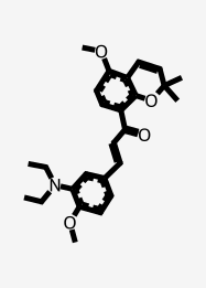 CCN(CC)c1cc(C=CC(=O)c2ccc(OC)c3c2OC(C)(C)C=C3)ccc1OC